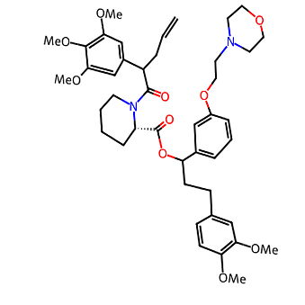 C=CCC(C(=O)N1CCCC[C@H]1C(=O)OC(CCc1ccc(OC)c(OC)c1)c1cccc(OCCN2CCOCC2)c1)c1cc(OC)c(OC)c(OC)c1